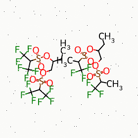 CCC(COS(=O)(=O)C(C(F)(F)F)C(F)(F)F)OS(=O)(=O)C(C(F)(F)F)C(F)(F)F.CCC(COS(=O)(=O)C(C)C(F)(F)F)OS(=O)(=O)C(C)C(F)(F)F